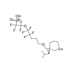 CC(C)C[C@@]1(COCCCC(F)(F)C(F)(F)OC(F)(F)C(F)(F)S(=O)(=O)O)CCC[C@@H](C)C1